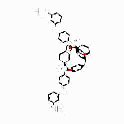 Nc1cccc(Oc2ccc(S(=O)(=O)C34C=CC(=CC3)Oc3ccc(c5c3C3(S(=O)(=O)c6ccc(Oc7cccc(N)c7)cc6)C=CC(=CC3)O5)-c3ccc4cc3)cc2)c1